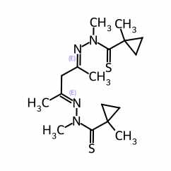 C/C(C/C(C)=N/N(C)C(=S)C1(C)CC1)=N\N(C)C(=S)C1(C)CC1